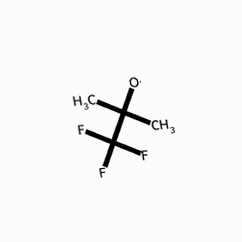 CC(C)([O])C(F)(F)F